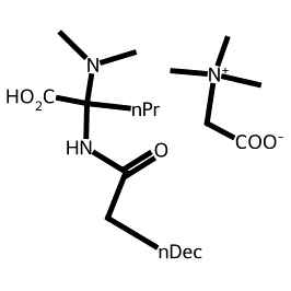 CCCCCCCCCCCC(=O)NC(CCC)(C(=O)O)N(C)C.C[N+](C)(C)CC(=O)[O-]